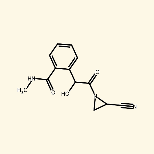 CNC(=O)c1ccccc1C(O)C(=O)N1CC1C#N